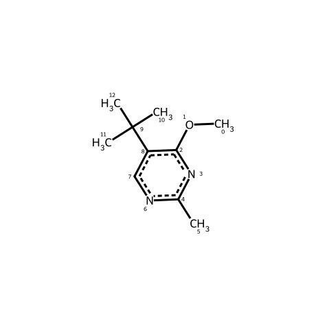 COc1nc(C)ncc1C(C)(C)C